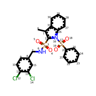 Cc1c(S(=O)(=O)NCc2ccc(Cl)c(Cl)c2)n(S(=O)(=O)c2ccccc2)c2ccccc12